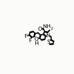 Cc1c(C(N)=O)c2c(Cc3ccc(F)c(F)c3)c(O)ccc2n1Cc1cccs1